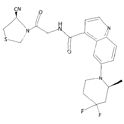 C[C@H]1CC(F)(F)CCN1c1ccc2nccc(C(=O)NCC(=O)N3CSC[C@H]3C#N)c2c1